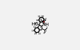 CC(C)CC(NC(C)C)C(O)(c1ccccc1)c1ccccc1